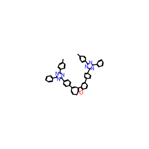 Cc1ccc(-c2nc(-c3ccccc3)nc(-c3ccc(C4=Cc5c(oc6ccc(-c7ccc(-c8nc(-c9ccccc9)nc(-c9ccc(C)cc9)n8)cc7)cc56)CC=C4)cc3)n2)cc1